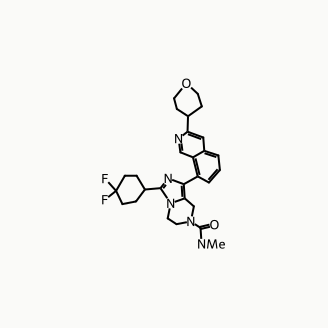 CNC(=O)N1CCn2c(C3CCC(F)(F)CC3)nc(-c3cccc4cc(C5CCOCC5)ncc34)c2C1